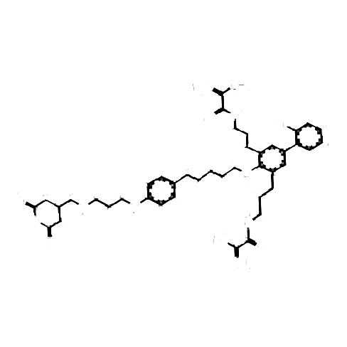 C=C(C)C(=O)OCCCc1cc(-c2ccccc2CC)cc(CCCOC(=O)C(=C)C)c1OCCCCCc1ccc(OCCCOCC2CC(=O)OC(=O)C2)cc1